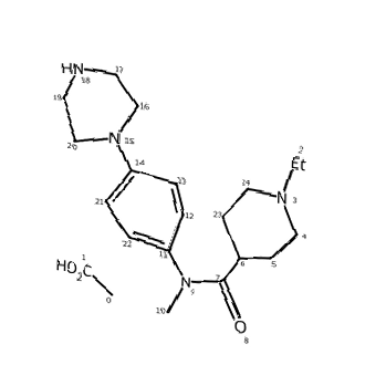 CC(=O)O.CCN1CCC(C(=O)N(C)c2ccc(N3CCNCC3)cc2)CC1